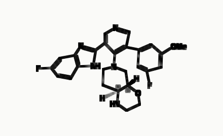 COc1cc(F)cc(-c2cncc(-c3nc4cc(F)ccc4[nH]3)c2N2CC[C@@H]3NCCO[C@H]3C2)c1